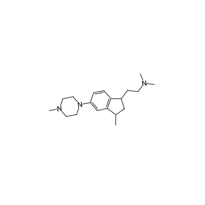 CC1CC(CCN(C)C)c2ccc(N3CCN(C)CC3)cc21